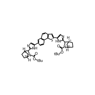 CC(C)(C)OC(=O)N1C(c2ncc(-c3ccc4c(ccc5cc(-c6cnc(C7[C@H]8CC[C@H](C8)N7C(=O)OC(C)(C)C)[nH]6)sc54)c3)[nH]2)[C@H]2CC[C@@H]1C2